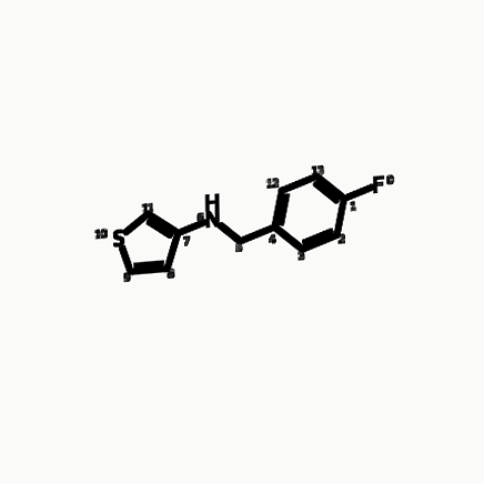 Fc1ccc(CNc2ccsc2)cc1